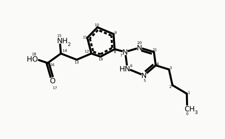 CCCCC1=NNN(c2cccc(CC(N)C(=O)O)c2)N=C1